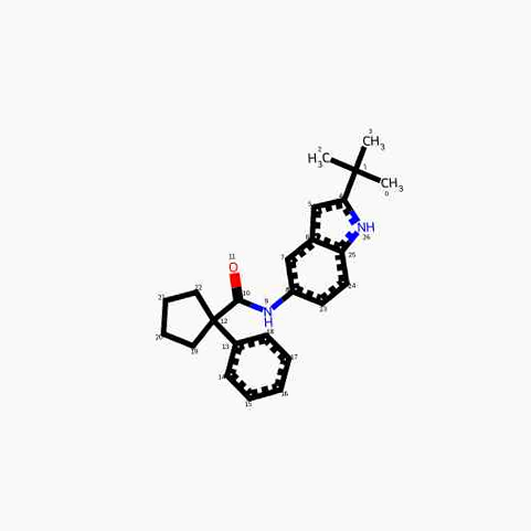 CC(C)(C)c1cc2cc(NC(=O)C3(c4ccccc4)CCCC3)ccc2[nH]1